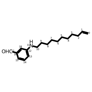 C=CCCCCCCCCCNc1cccc(C=O)c1